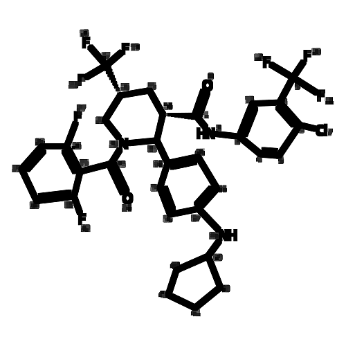 O=C(Nc1ccc(Cl)c(C(F)(F)F)c1)[C@H]1C[C@@H](C(F)(F)F)CN(C(=O)c2c(F)cccc2F)C1c1ccc(NC2CCCC2)cc1